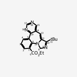 CCOC(=O)c1cccc2c1N1CN=C(C(C)(C)C)C1=Cc1cncnc1-2